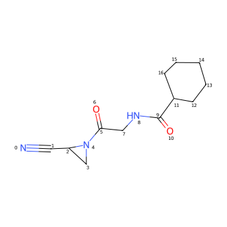 N#CC1CN1C(=O)CNC(=O)C1CCCCC1